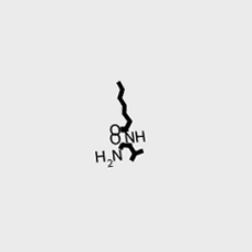 CCCCCCC(=O)NC(C(N)=O)C(C)C